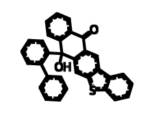 O=C1c2ccccc2C(O)(c2ccccc2-c2ccccc2)c2cc3sc4ccccc4c3cc21